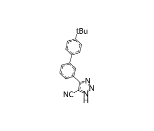 CC(C)(C)c1ccc(-c2cccc(-c3nn[nH]c3C#N)c2)cc1